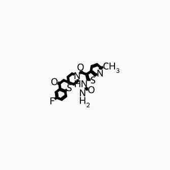 Cc1ccc2c(C(=O)N3CCC4(CC3)CC(=O)c3cc(F)ccc3S4)c(NC(N)=O)sc2n1